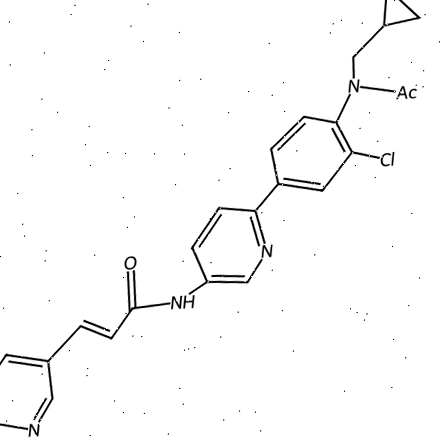 CC(=O)N(CC1CC1)c1ccc(-c2ccc(NC(=O)/C=C/c3cccnc3)cn2)cc1Cl